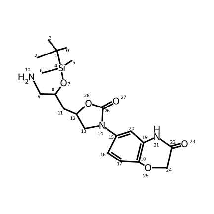 CC(C)(C)[Si](C)(C)OC(CN)CC1CN(c2ccc3c(c2)NC(=O)CO3)C(=O)O1